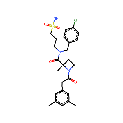 Cc1cc(C)cc(CC(=O)N2CC[C@@]2(C)C(=O)N(CCCS(N)(=O)=O)Cc2ccc(Cl)cc2)c1